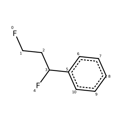 FCCC(F)c1cc[c]cc1